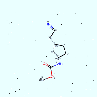 CC(C)(C)OC(=O)N[C@H]1CC[C@@H](CC=N)C1